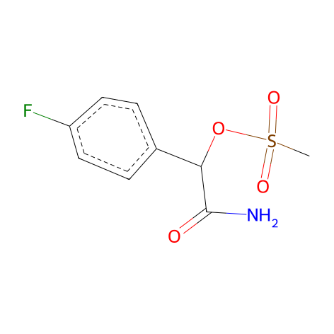 CS(=O)(=O)OC(C(N)=O)c1ccc(F)cc1